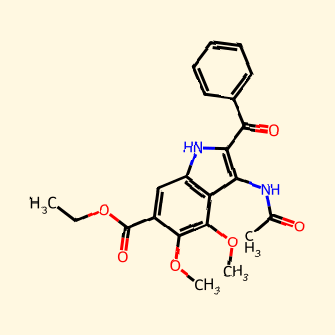 CCOC(=O)c1cc2[nH]c(C(=O)c3ccccc3)c(NC(C)=O)c2c(OC)c1OC